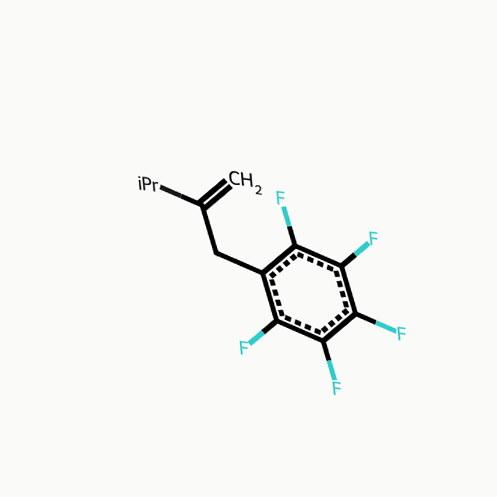 C=C(Cc1c(F)c(F)c(F)c(F)c1F)C(C)C